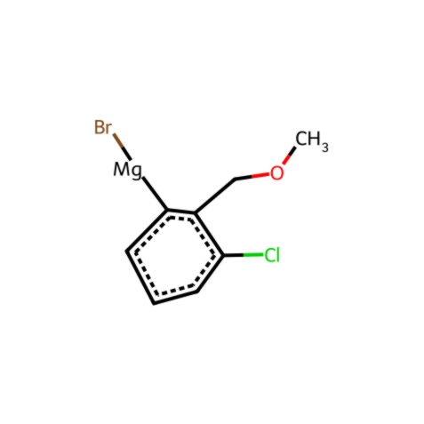 COCc1c(Cl)ccc[c]1[Mg][Br]